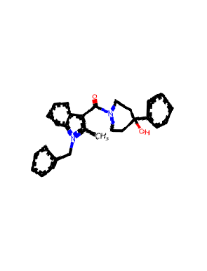 Cc1c(C(=O)N2CCC(O)(c3ccccc3)CC2)c2ccccc2n1Cc1ccccc1